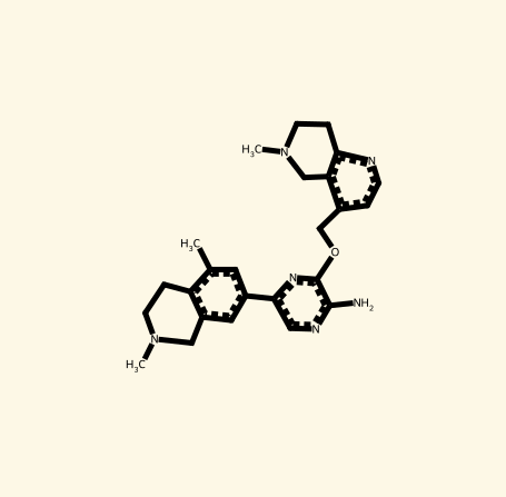 Cc1cc(-c2cnc(N)c(OCc3ccnc4c3CN(C)CC4)n2)cc2c1CCN(C)C2